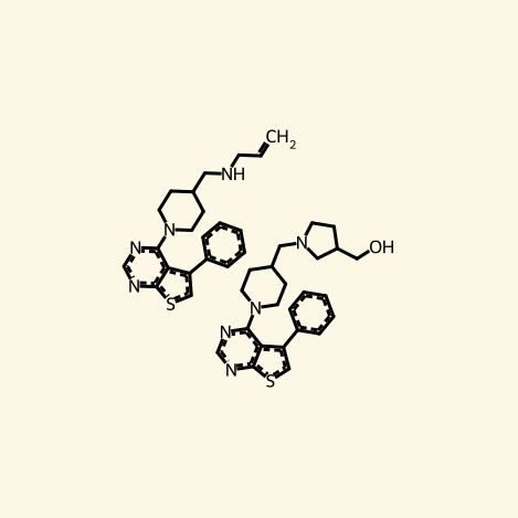 C=CCNCC1CCN(c2ncnc3scc(-c4ccccc4)c23)CC1.OCC1CCN(CC2CCN(c3ncnc4scc(-c5ccccc5)c34)CC2)C1